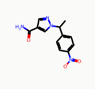 CC(c1ccc([N+](=O)[O-])cc1)n1cc(C(N)=O)cn1